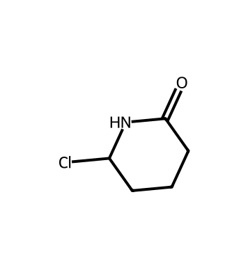 O=C1CCCC(Cl)N1